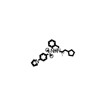 C[C@@H](CC1CCCC1)NCc1ccccc1NS(=O)(=O)c1ccc(-n2cccc2)cc1